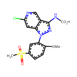 COc1ccc(S(C)(=O)=O)cc1-n1nc(NC(=O)O)c2cnc(Cl)cc21